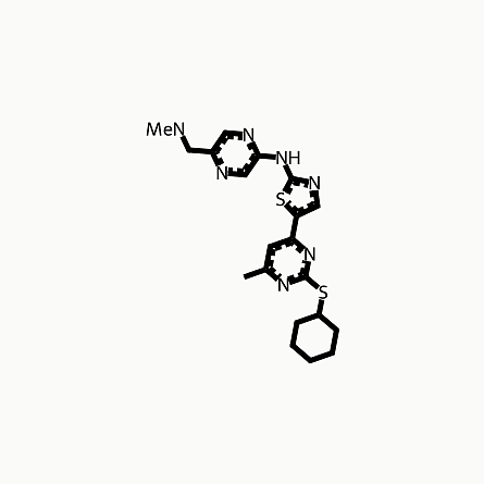 CNCc1cnc(Nc2ncc(-c3cc(C)nc(SC4CCCCC4)n3)s2)cn1